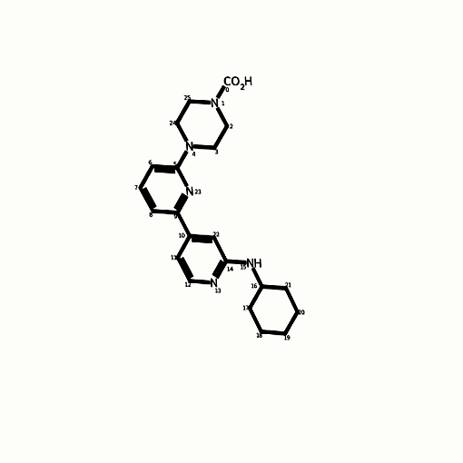 O=C(O)N1CCN(c2cccc(-c3ccnc(NC4CCCCC4)c3)n2)CC1